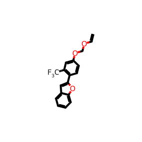 C=COCOc1ccc(-c2cc3ccccc3o2)c(C(F)(F)F)c1